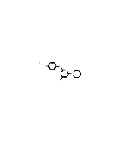 CC(C)Oc1ccc(Nc2nc(Cl)cc(N3CCCCC3)n2)cc1